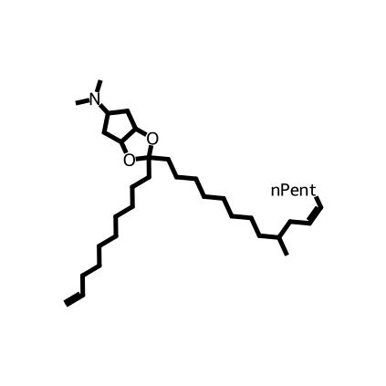 C=CCCCCCCCCC1(CCCCCCCCC(C)C/C=C\CCCCC)OC2CC(N(C)C)CC2O1